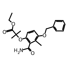 CCOC(=O)C(C)(C)Oc1ccc(OCc2ccccc2)c(C)c1C(N)=O